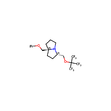 CC(C)OC[C@@]12CCCN1[C@H](COC(C(F)(F)F)(C(F)(F)F)C(F)(F)F)CC2